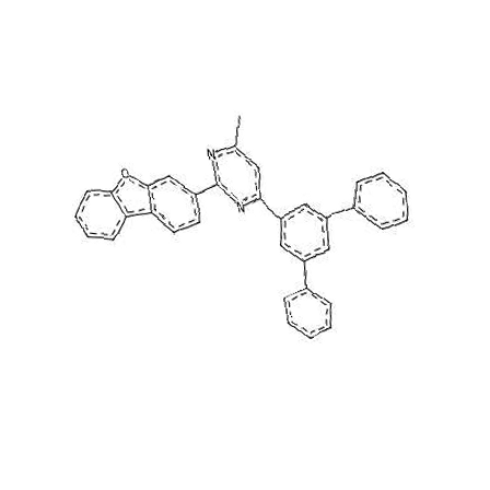 Ic1cc(-c2cc(-c3ccccc3)cc(-c3ccccc3)c2)nc(-c2ccc3c(c2)oc2ccccc23)n1